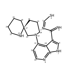 N=C(/N=C\S)c1c[nH]c2nccc(N3CCC[C@@]4(CCCCN4)C3)c12